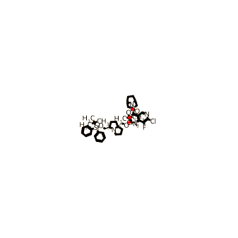 CC(C)(C)OC(=O)N1C2CCC1CN(c1nc(OC[C@]34CCCN3[C@@H](CO[Si](c3ccccc3)(c3ccccc3)C(C)(C)C)CC4)nc3c(F)c(Cl)ncc13)C2